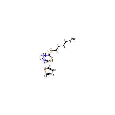 CCCCCCSc1nnc(-c2cccs2)s1